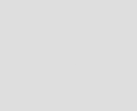 COC(=O)Cc1cc(OC)ccc1C(=O)c1ccccc1